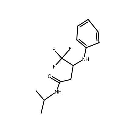 CC(C)NC(=O)CC(Nc1ccccc1)C(F)(F)F